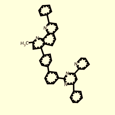 Cc1cc(-c2ccc(-c3cccc(-c4nc(-c5ccccc5)cc(-c5ccccn5)n4)c3)cc2)c2ccc3ccc(-c4ccccc4)nc3c2n1